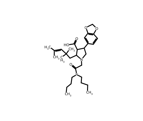 CCCCN(CCCC)C(=O)CN1CC(c2ccc3c(c2)OCO3)C(C(=O)O)C1CC(C)(C)C=C(C)C